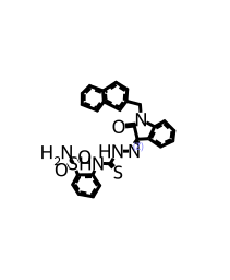 NS(=O)(=O)c1ccccc1NC(=S)N/N=C1\C(=O)N(Cc2ccc3ccccc3c2)c2ccccc21